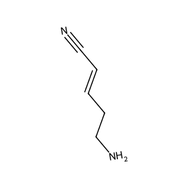 N#CC=CCCN